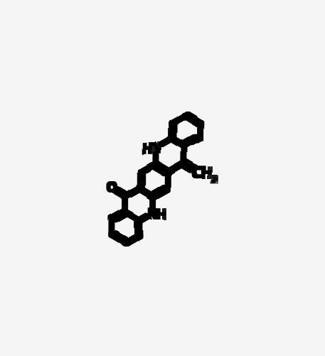 C=C1c2ccccc2Nc2cc3c(=O)c4ccccc4[nH]c3cc21